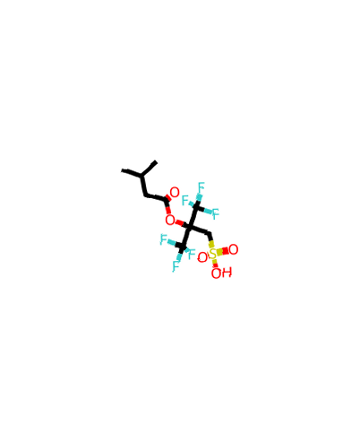 CC(C)CC(=O)OC(CS(=O)(=O)O)(C(F)(F)F)C(F)(F)F